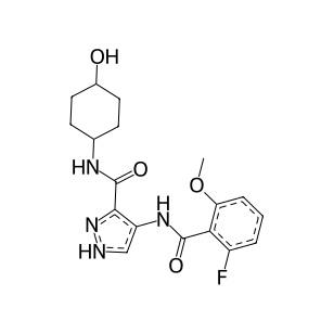 COc1cccc(F)c1C(=O)Nc1c[nH]nc1C(=O)NC1CCC(O)CC1